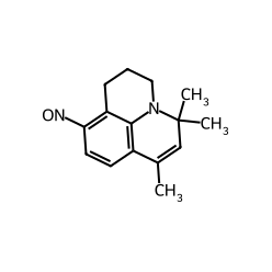 CC1=CC(C)(C)N2CCCc3c(N=O)ccc1c32